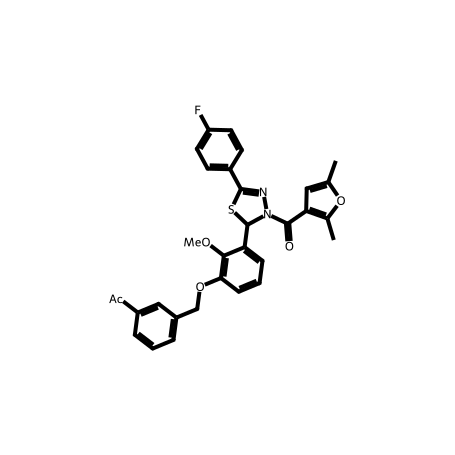 COc1c(OCc2cccc(C(C)=O)c2)cccc1C1SC(c2ccc(F)cc2)=NN1C(=O)c1cc(C)oc1C